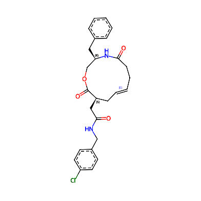 O=C(C[C@@H]1C/C=C/CCC(=O)N[C@H](Cc2ccccc2)COC1=O)NCc1ccc(Cl)cc1